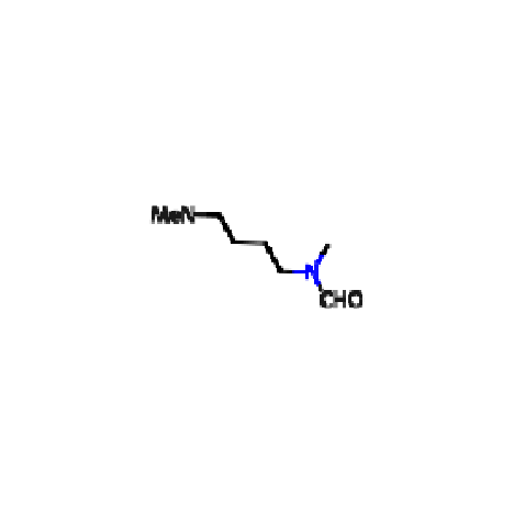 CNCCCCN(C)C=O